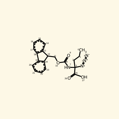 CCCC(N=[N+]=[N-])(NC(=O)OCC1c2ccccc2-c2ccccc21)C(=O)O